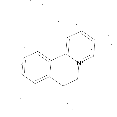 c1ccc2c(c1)CC[n+]1ccccc1-2